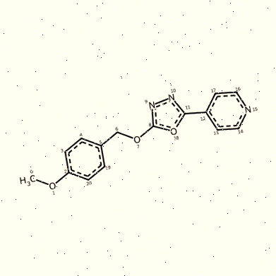 COc1ccc(COc2nnc(-c3ccncc3)o2)cc1